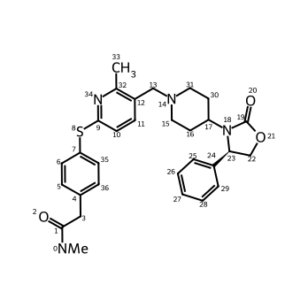 CNC(=O)Cc1ccc(Sc2ccc(CN3CCC(N4C(=O)OC[C@H]4c4ccccc4)CC3)c(C)n2)cc1